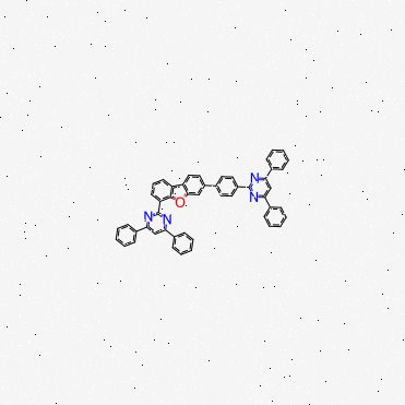 c1ccc(-c2cc(-c3ccccc3)nc(-c3ccc(-c4ccc5c(c4)oc4c(-c6nc(-c7ccccc7)cc(-c7ccccc7)n6)cccc45)cc3)n2)cc1